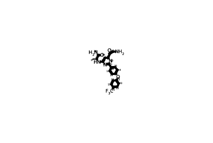 C[C@H](Nc1cc(C2OC2N)nc(-c2ccc(Oc3ccc(C(F)(F)F)cc3)cc2)n1)C(N)=O